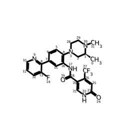 C[C@H]1CN(c2ccc(-c3ncccc3F)cc2NC(=O)c2c[nH]c(=O)cc2C(F)(F)F)CCN1C